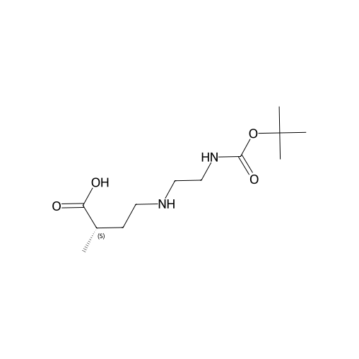 C[C@@H](CCNCCNC(=O)OC(C)(C)C)C(=O)O